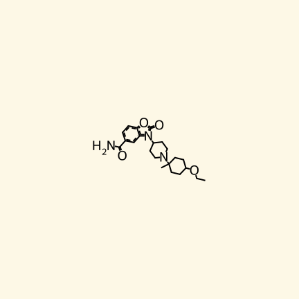 CCOC1CCC(C)(N2CCC(n3c(=O)oc4ccc(C(N)=O)cc43)CC2)CC1